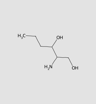 CCCC(O)C(N)CO